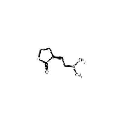 CN(C)CC=C1CCOC1=O